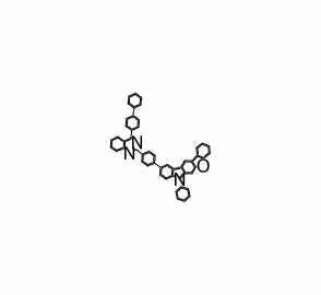 c1ccc(-c2ccc(-c3nc(-c4ccc(-c5ccc6c(c5)c5cc7c(cc5n6-c5ccccc5)oc5ccccc57)cc4)nc4ccccc34)cc2)cc1